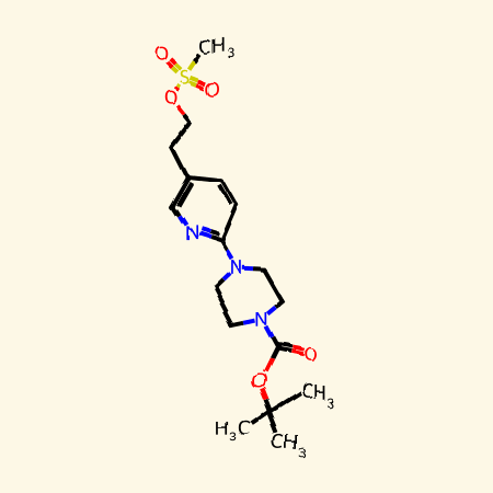 CC(C)(C)OC(=O)N1CCN(c2ccc(CCOS(C)(=O)=O)cn2)CC1